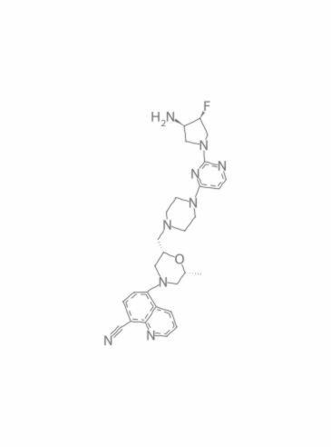 C[C@@H]1CN(c2ccc(C#N)c3ncccc23)C[C@H](CN2CCN(c3ccnc(N4C[C@@H](N)[C@@H](F)C4)n3)CC2)O1